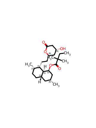 CCC(C)(C)C(=O)O[C@H]1C[C@H](C)C[C@@H]2CC[C@H](C)[C@H](CC[C@@H]3C[C@@H](O)CC(=O)O3)[C@H]21